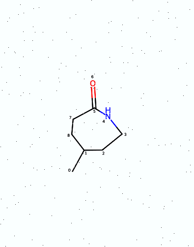 CC1CCNC(=O)CC1